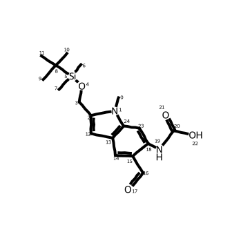 Cn1c(CO[Si](C)(C)C(C)(C)C)cc2cc(C=O)c(NC(=O)O)cc21